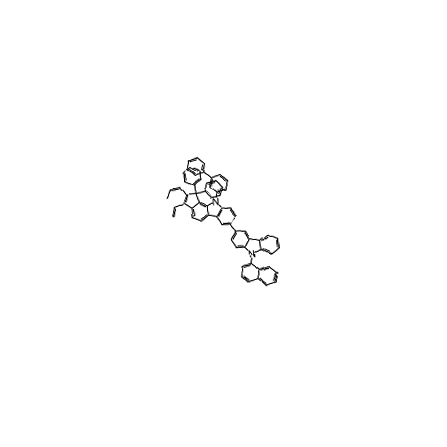 C=CC1=C(/C=C\C)C(c2ccccc2)(c2ccccc2)c2c1ccc1c3cc(-c4ccc5c(c4)c4ccccc4n5-c4cccc5ccccc45)ccc3n(-c3cccc(-c4ccccc4)c3)c21